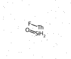 O=[SiH2].[F][Th]